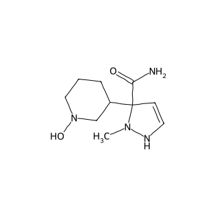 CN1NC=CC1(C(N)=O)C1CCCN(O)C1